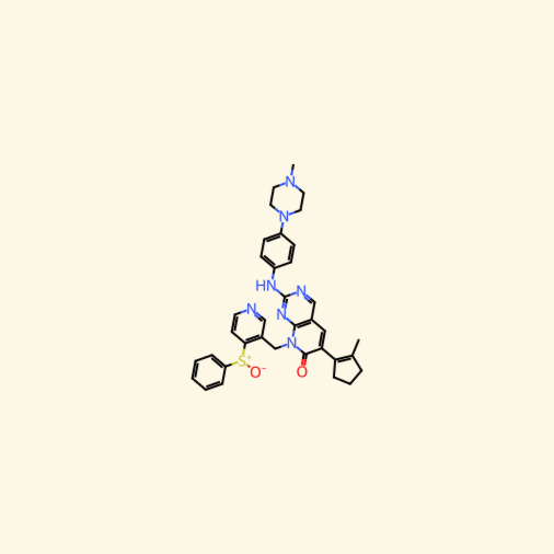 CC1=C(c2cc3cnc(Nc4ccc(N5CCN(C)CC5)cc4)nc3n(Cc3cnccc3[S+]([O-])c3ccccc3)c2=O)CCC1